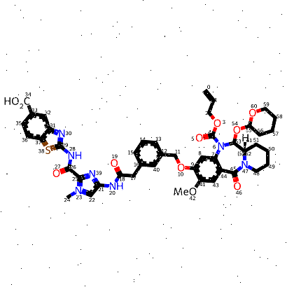 C=CCOC(=O)N1c2cc(OCc3cccc(CC(=O)Nc4cn(C)c(C(=O)Nc5nc6cc(C(=O)O)ccc6s5)n4)c3)c(OC)cc2C(=O)N2CCCC[C@H]2C1OC1CCCCO1